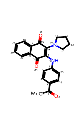 COC(=O)c1ccc(NC2=C(N3CCCC3)C(=O)c3ccccc3C2=O)cc1